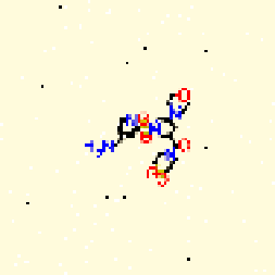 NCc1ccnc(S(=O)(=O)N2CC(C(=O)N3CCS(=O)(=O)CC3)CC(N3CCOCC3)C2)c1